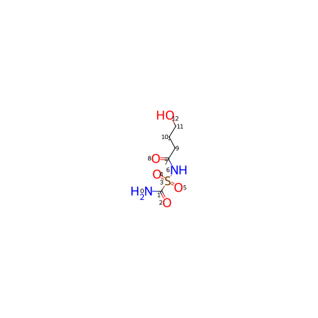 NC(=O)S(=O)(=O)NC(=O)C[CH]CO